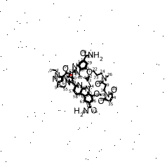 CCn1nc(C)cc1C(=O)Nc1nc2cc(C(N)=O)cc(OCCCN(C)C(=O)CCN3C(=O)C=CC3=O)c2n1C[C@@H]1C[C@H]1Cn1c2nc(-c3cc(C)nn3CC)ccc2c2cc(C(N)=O)cc(OC)c21